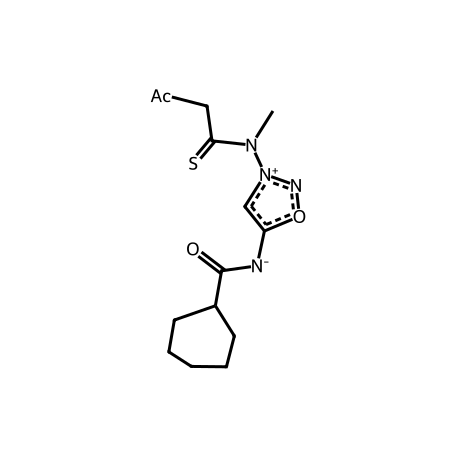 CC(=O)CC(=S)N(C)[n+]1cc([N-]C(=O)C2CCCCC2)on1